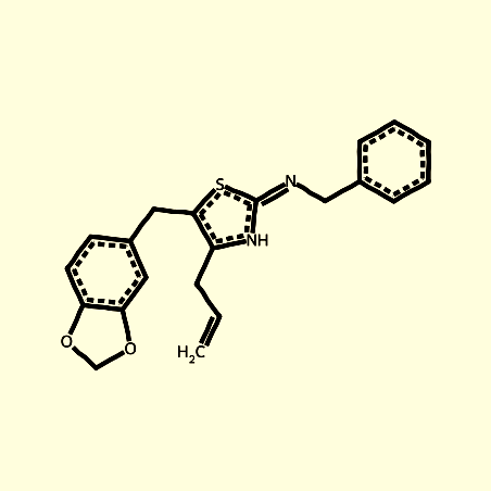 C=CCc1[nH]c(=NCc2ccccc2)sc1Cc1ccc2c(c1)OCO2